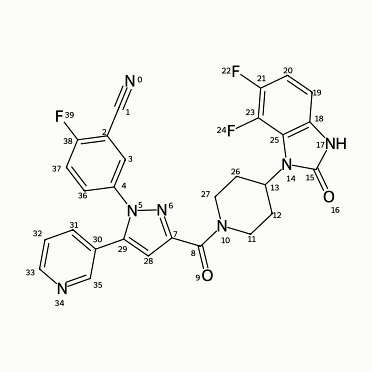 N#Cc1cc(-n2nc(C(=O)N3CCC(n4c(=O)[nH]c5ccc(F)c(F)c54)CC3)cc2-c2cccnc2)ccc1F